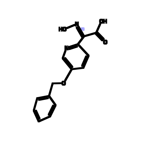 O=C(O)/C(=N/O)c1ccc(OCc2ccccc2)cn1